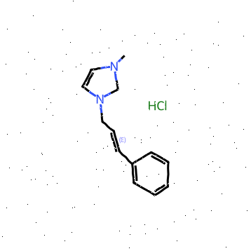 CN1C=CN(C/C=C/c2ccccc2)C1.Cl